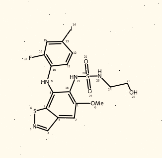 COc1cc2cnsc2c(Nc2ccc(I)cc2F)c1NS(=O)(=O)NCCO